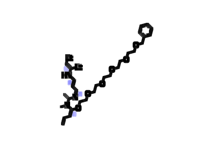 C=C/C=C(/OCCOCCOCCOCCOCCOCc1ccccc1)N(C)C(C)/N=C\C=C\N/C(=C/CC)CC